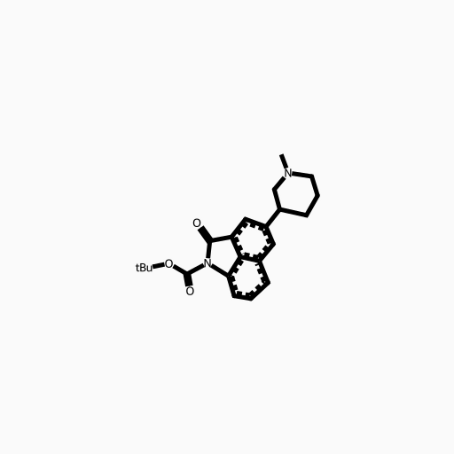 CN1CCCC(c2cc3c4c(cccc4c2)N(C(=O)OC(C)(C)C)C3=O)C1